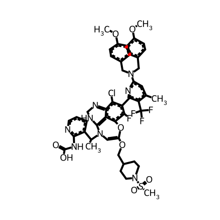 COc1ccc(CN(Cc2ccc(OC)cc2)c2cc(C)c(C(F)(F)F)c(-c3c(F)c4c5c(c3Cl)=NCNC=5N(C(C)c3cccnc3NC(=O)O)C=C(OCC3CCN(S(C)(=O)=O)CC3)O4)n2)cc1